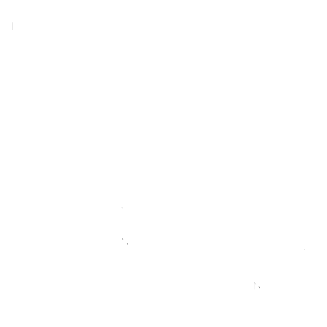 NC(Cc1cccc(NC(=O)CCCCCCCBr)c1)C(=O)O